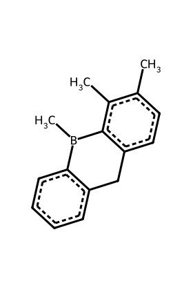 CB1c2ccccc2Cc2ccc(C)c(C)c21